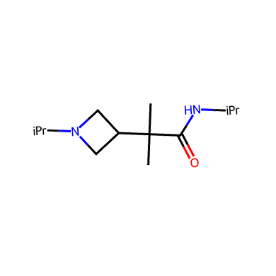 CC(C)NC(=O)C(C)(C)C1CN(C(C)C)C1